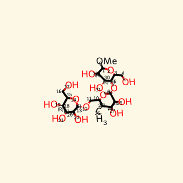 COC1OC(CO)[C@@H](O[C@@H]2OC(CO[C@H]3OC(CO)[C@H](O)[C@H](O)C3O)[C@@H](C)[C@H](O)C2O)[C@H](O)[C@H]1O